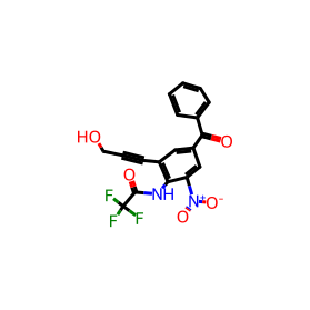 O=C(c1ccccc1)c1cc(C#CCO)c(NC(=O)C(F)(F)F)c([N+](=O)[O-])c1